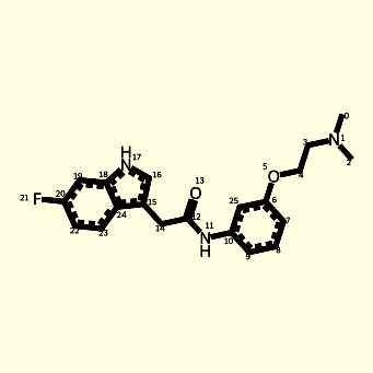 CN(C)CCOc1cccc(NC(=O)Cc2c[nH]c3cc(F)ccc23)c1